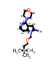 C[Si](C)(C)CCOCn1c(I)cc2c(N3CCOCC3)nccc21